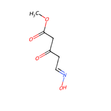 COC(=O)CC(=O)CC=NO